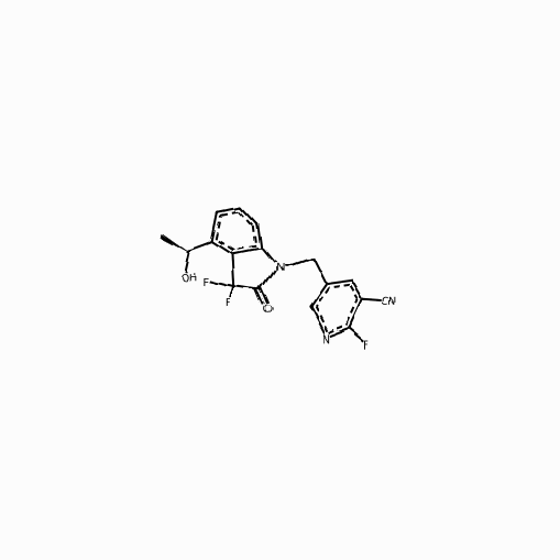 C[C@H](O)c1cccc2c1C(F)(F)C(=O)N2Cc1cnc(F)c(C#N)c1